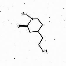 CC(C)(C)N1CCC(CCN)CC1=O